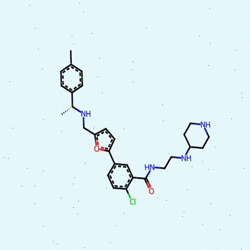 Cc1ccc([C@@H](C)NCc2ccc(-c3ccc(Cl)c(C(=O)NCCNC4CCNCC4)c3)o2)cc1